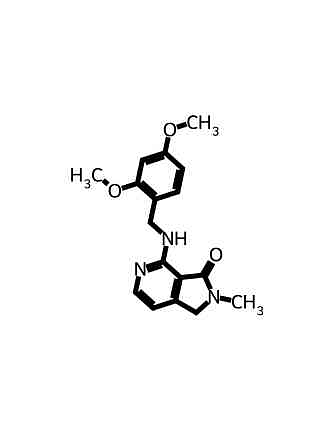 COc1ccc(CNc2nccc3c2C(=O)N(C)C3)c(OC)c1